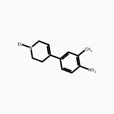 CCN1CC=C(c2ccc([N+](=O)[O-])c(C)c2)CC1